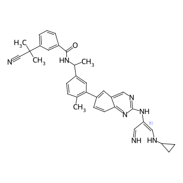 Cc1ccc(C(C)NC(=O)c2cccc(C(C)(C)C#N)c2)cc1-c1ccc2nc(N/C(C=N)=C/NC3CC3)ncc2c1